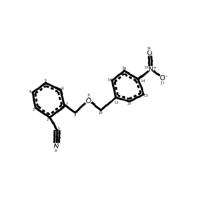 N#Cc1ccccc1[CH]OCc1ccc([N+](=O)[O-])cc1